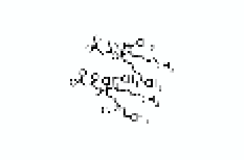 CCCCCCC(C)(OC(=O)CC(=O)[O-])C(CC)CCCCC.CCCCCCC(C)(OC(=O)CC(=O)[O-])C(CC)CCCCC.[Ca+2]